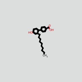 CCCCCCCCCCc1cc(O)ccc1-c1ccc(C(=O)O)cc1